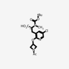 CC(=O)N1CC(Oc2ncc(Cl)cc2C[C@@H](C(=O)O)N(C)C(=O)OC(C)(C)C)C1